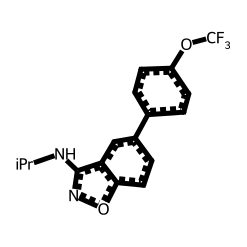 CC(C)Nc1noc2ccc(-c3ccc(OC(F)(F)F)cc3)cc12